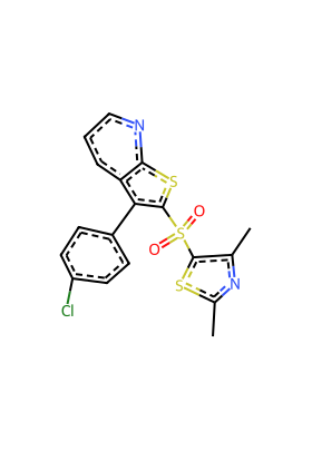 Cc1nc(C)c(S(=O)(=O)c2sc3ncccc3c2-c2ccc(Cl)cc2)s1